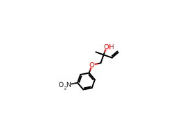 C=CC(C)(O)COc1cccc([N+](=O)[O-])c1